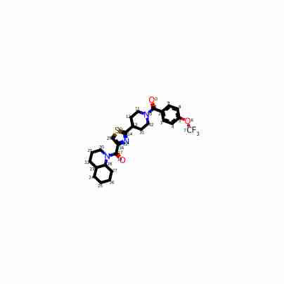 O=C(c1ccc(OC(F)(F)F)cc1)N1CCC(c2nc(C(=O)N3CCCC4CCCCC43)cs2)CC1